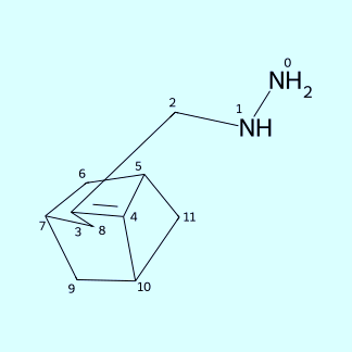 NNCC1=C2C3CC(C1)CC2C3